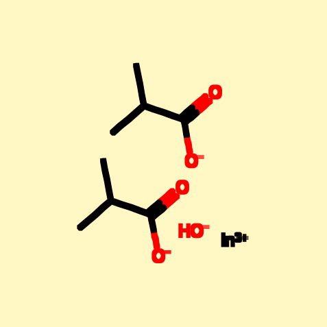 CC(C)C(=O)[O-].CC(C)C(=O)[O-].[In+3].[OH-]